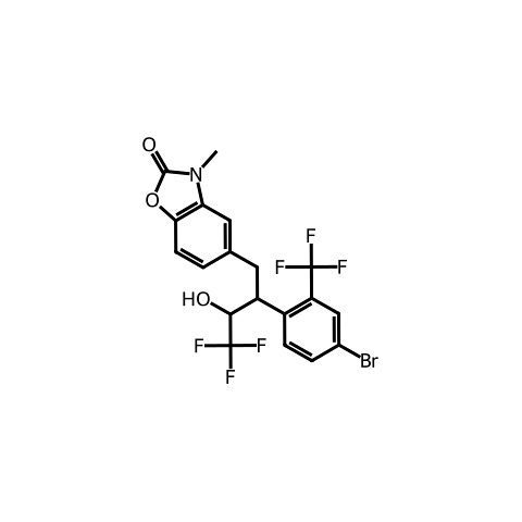 Cn1c(=O)oc2ccc(CC(c3ccc(Br)cc3C(F)(F)F)C(O)C(F)(F)F)cc21